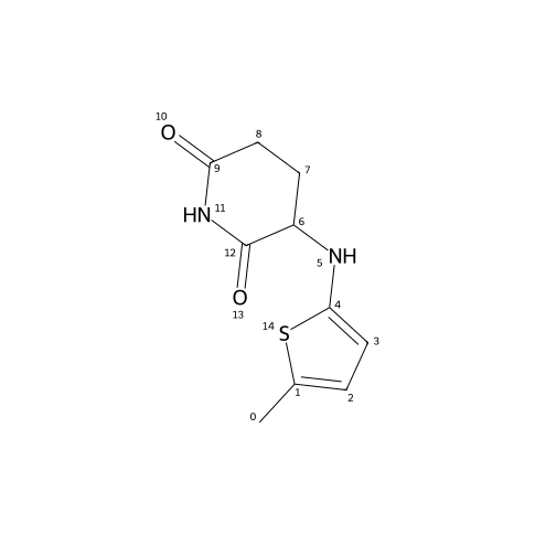 Cc1ccc(NC2CCC(=O)NC2=O)s1